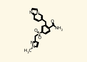 Cn1ccc(CS(=O)(=O)c2ccc(C(N)=O)c(Cc3ccc4nccn4c3)c2)n1